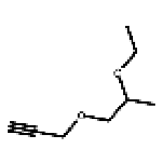 C#CCOCC(C)OCC